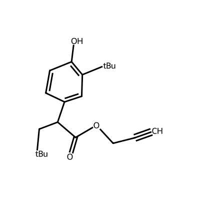 C#CCOC(=O)C(CC(C)(C)C)c1ccc(O)c(C(C)(C)C)c1